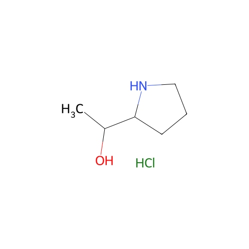 CC(O)C1CCCN1.Cl